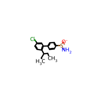 CCC(CC)c1ccc(Cl)cc1-c1ccc([S+](N)[O-])cc1